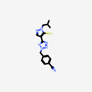 CC(C)Cn1ncc(-c2nnn(Cc3ccc(C#N)cc3)n2)c1S